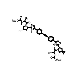 COC(=O)NC(C(=O)N1CC(C#N)CC1c1ncc(-c2ccc(C#Cc3ccc(-c4cnc(C5CC6(CC6)CN5C(=O)C(NC(=O)OC)C(C)C)[nH]4)cc3)cc2)[nH]1)C(C)C